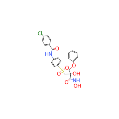 O=C(Nc1ccc(S(=O)(=O)CC(O)(COc2ccccc2)C(=O)NO)cc1)c1ccc(Cl)cc1